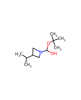 CC(C)C1CN(C(O)OC(C)(C)C)C1